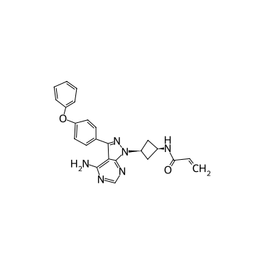 C=CC(=O)N[C@H]1C[C@@H](n2nc(-c3ccc(Oc4ccccc4)cc3)c3c(N)ncnc32)C1